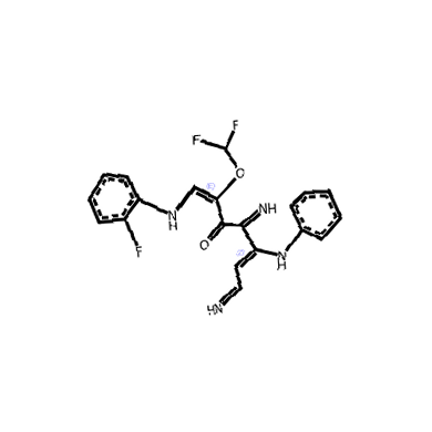 N=C/C=C(\Nc1ccccc1)C(=N)C(=O)/C(=C\Nc1ccccc1F)OC(F)F